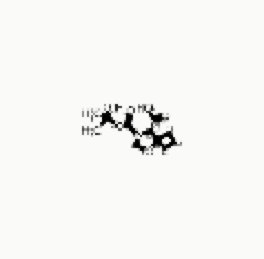 CC(C)(C)OC(=O)N1COC2(CCC2)[C@H]1C(=O)O